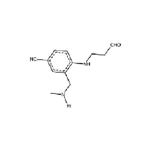 CCN(C)Cc1cc(C#N)ccc1NCCC=O